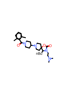 CCCCC1N(CCN(C)C)C(=O)OC12CCN(C1CCN(C(=O)c3c(C)cccc3C)CC1)CC2